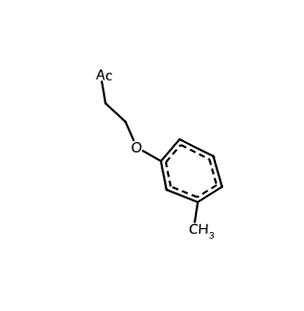 CC(=O)CCOc1cccc(C)c1